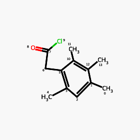 Cc1cc(C)c(CC(=O)Cl)c(C)c1C